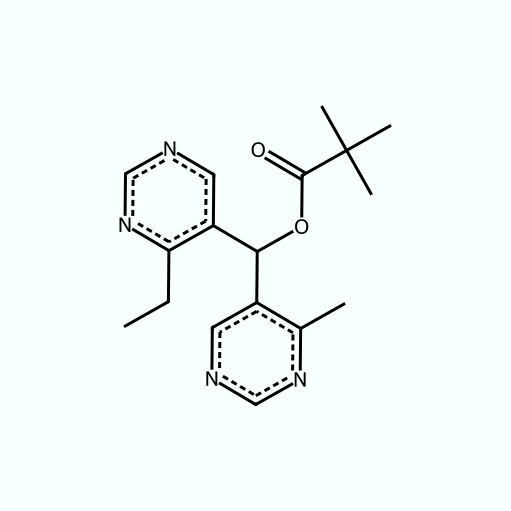 CCc1ncncc1C(OC(=O)C(C)(C)C)c1cncnc1C